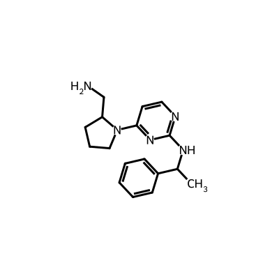 CC(Nc1nccc(N2CCCC2CN)n1)c1ccccc1